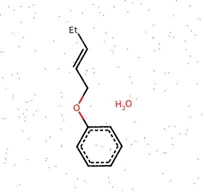 CCC=CCOc1ccccc1.O